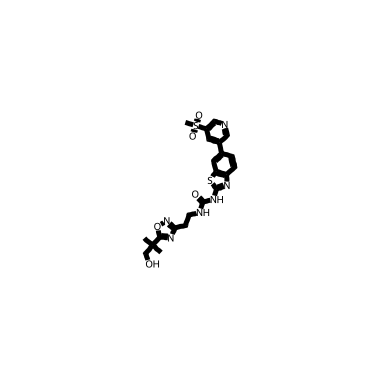 CC(C)(CO)c1nc(CCNC(=O)Nc2nc3ccc(-c4cncc(S(C)(=O)=O)c4)cc3s2)no1